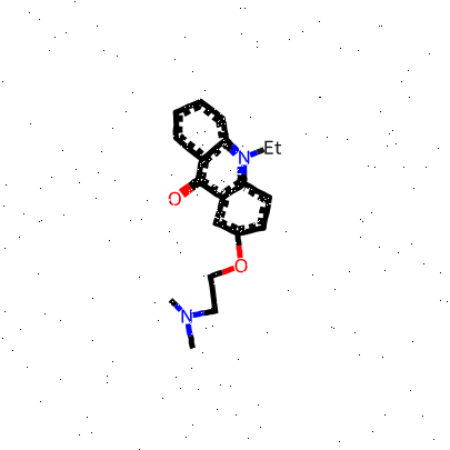 CCn1c2ccccc2c(=O)c2cc(OCCN(C)C)ccc21